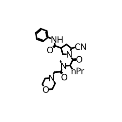 CCCC(C(=O)N1CC(C(=O)Nc2ccccc2)CC1C#N)N(C)C(=O)CN1CCOCC1